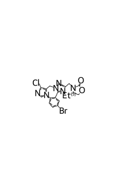 CC[C@H]1COC(=O)N1Cc1nc2n(n1)Cc1c(Cl)ncn1-c1ccc(Br)cc1-2